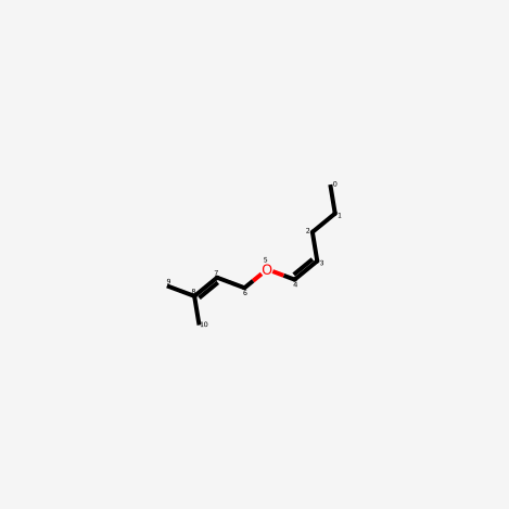 CCC/C=C\OCC=C(C)C